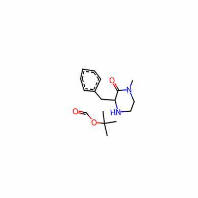 CC(C)(C)OC=O.CN1CCNC(Cc2ccccc2)C1=O